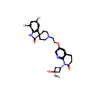 C[C@]1(O)C[C@@H](N2C(=O)CCc3cc(OCCN4CCC5(CC4)C(=O)Nc4c(Cl)cc(Cl)cc45)cnc32)C1